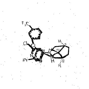 CC(C)n1nc(N[C@@H]2[C@@H]3CC[C@H]2CN(c2cc(Cl)ncn2)C3)nc1Oc1cccc(C(F)(F)F)c1